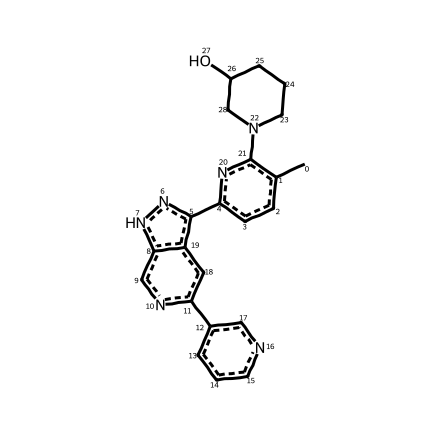 Cc1ccc(-c2n[nH]c3cnc(-c4cccnc4)cc23)nc1N1CCCC(O)C1